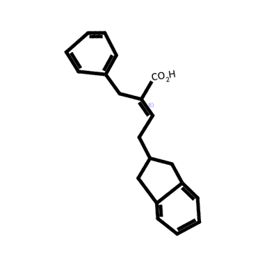 O=C(O)/C(=C/CC1Cc2ccccc2C1)Cc1ccccc1